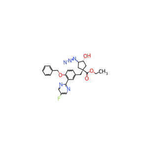 CCOC(=O)[C@@]1(Cc2ccc(OCc3ccccc3)c(-c3ncc(F)cn3)c2)C[C@@H](O)[C@H](N=[N+]=[N-])C1